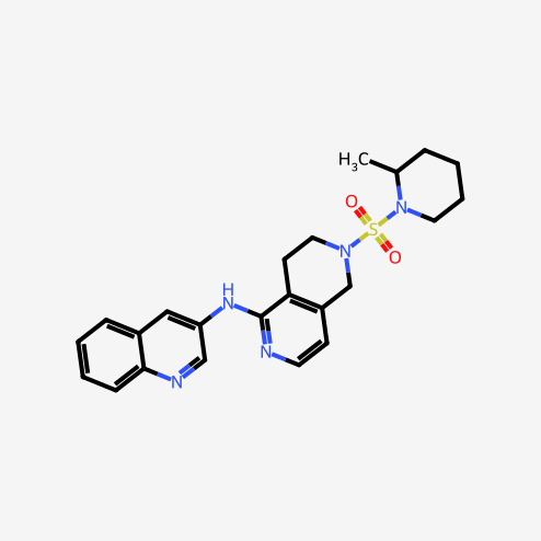 CC1CCCCN1S(=O)(=O)N1CCc2c(ccnc2Nc2cnc3ccccc3c2)C1